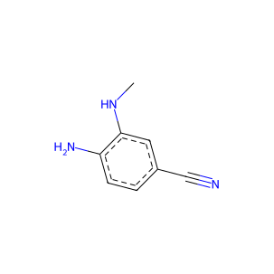 CNc1cc(C#N)ccc1N